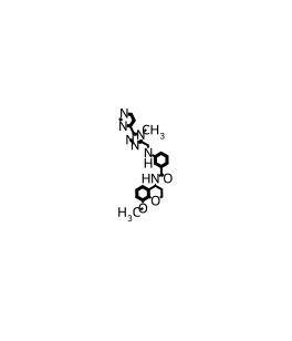 COc1cccc2c1OCC[C@H]2NC(=O)c1cccc(NCc2nnc(-c3ccncn3)n2C)c1